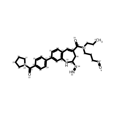 CCCN(CCCN=O)C(=O)C1=Cc2ccc(-c3ccc(C(=O)N4CCCC4)cc3)cc2NC(N=N)C1